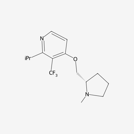 CC(C)c1nccc(OC[C@@H]2CCCN2C)c1C(F)(F)F